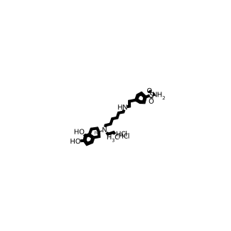 CCCN(CCCCCCNCCc1ccc(S(N)(=O)=O)cc1)[C@H]1CCc2c(ccc(O)c2O)C1.Cl.Cl